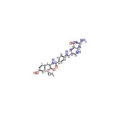 COC(=O)C(Cc1ccc(O)cc1)NC(=O)c1ccc(NCc2c[nH]c3nc(N)nc(=O)c-3n2)cc1